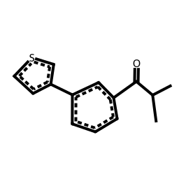 CC(C)C(=O)c1cccc(-c2ccsc2)c1